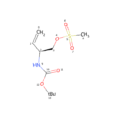 C=C[C@@H](COS(C)(=O)=O)NC(=O)OC(C)(C)C